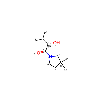 CC(C)[C@H](O)C(=O)N1CCC(C)(C)C1